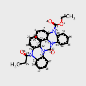 CCOC(=O)N1c2ccccc2N(C(=O)N2c3ccccc3N(C(=O)CC)c3ccccc32)c2ccccc21